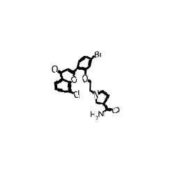 NC(=O)C1CCN(CCOc2cc(Br)ccc2-c2cc(=O)c3cccc(Cl)c3o2)C1